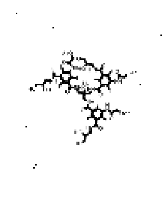 CC(=O)OCC(=O)Nc1c(I)c(C(=O)NCC(O)CO)c(I)c(C(=O)NCC(C)(CNC(=O)c2c(I)c(NC(=O)COC(C)=O)c(I)c(C(=O)NCC(O)CO)c2I)CNC(=O)c2c(I)c(NC(=O)COC(C)=O)c(I)c(C(=O)NCC(O)CO)c2I)c1I